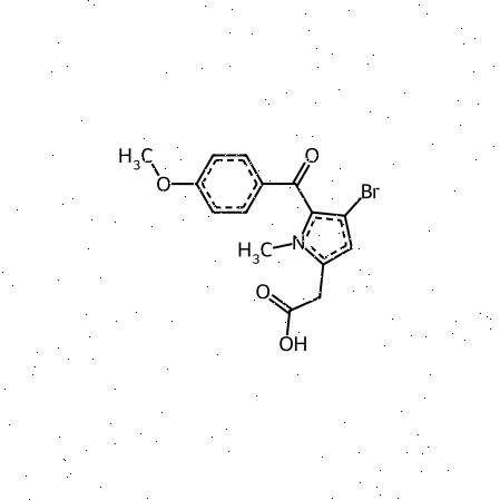 COc1ccc(C(=O)c2c(Br)cc(CC(=O)O)n2C)cc1